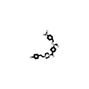 O=CN(OCc1ccc([N+](=O)[O-])cc1)c1ccc(C(=O)N2CCN(CCc3ccc(Cl)cc3)CC2)cc1